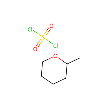 CC1CCCCO1.O=S(=O)(Cl)Cl